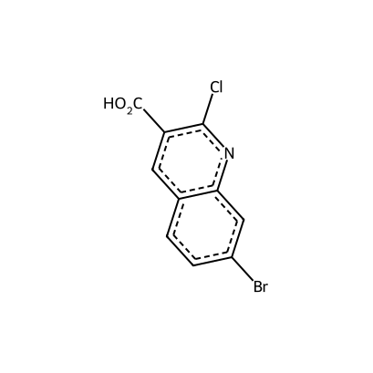 O=C(O)c1cc2ccc(Br)cc2nc1Cl